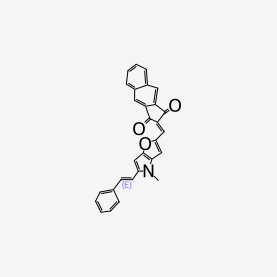 Cn1c(/C=C/c2ccccc2)cc2oc(C=C3C(=O)c4cc5ccccc5cc4C3=O)cc21